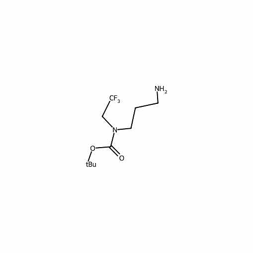 CC(C)(C)OC(=O)N(CCCN)CC(F)(F)F